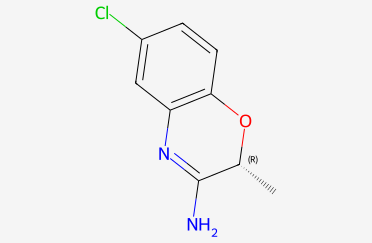 C[C@H]1Oc2ccc(Cl)cc2N=C1N